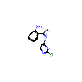 C/C(=N/c1ccnc(Cl)n1)c1ccccc1N